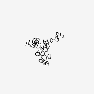 CC(C)S(=O)(=O)c1cc(Cl)c(-c2cc3cnc(Nc4ccc(C5CCCN(C)C5)cc4)nc3n(C3CCN(S(C)(=O)=O)CC3)c2=O)c(Cl)c1